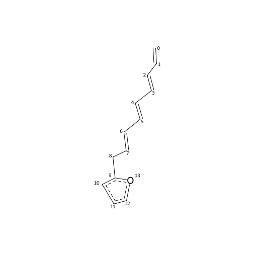 C=CC=CC=CC=CCc1ccco1